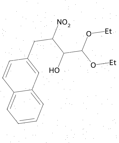 CCOC(OCC)C(O)C(Cc1ccc2ccccc2c1)[N+](=O)[O-]